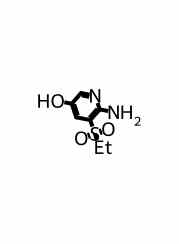 CCS(=O)(=O)c1cc(O)cnc1N